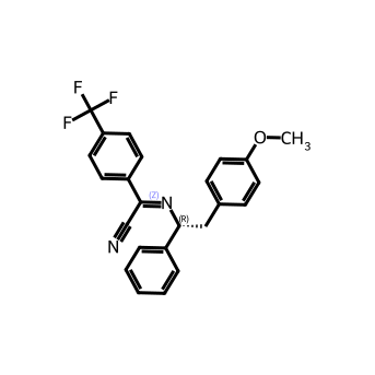 COc1ccc(C[C@@H](/N=C(\C#N)c2ccc(C(F)(F)F)cc2)c2ccccc2)cc1